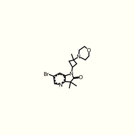 CC1(C)C(=O)N(C2CC(C)(N3CCOCC3)C2)c2cc(Br)cnc21